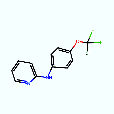 FC(F)(Cl)Oc1ccc(Nc2ccccn2)cc1